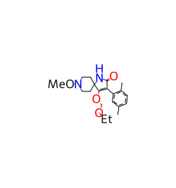 CCOCOC1=C(c2cc(C)ccc2C)C(=O)NC12CCN(OC)CC2